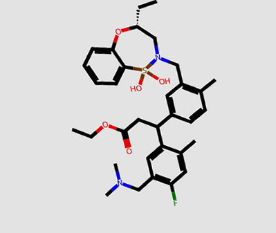 CCOC(=O)CC(c1ccc(C)c(CN2C[C@@H](CC)Oc3ccccc3S2(O)O)c1)c1cc(CN(C)C)c(F)cc1C